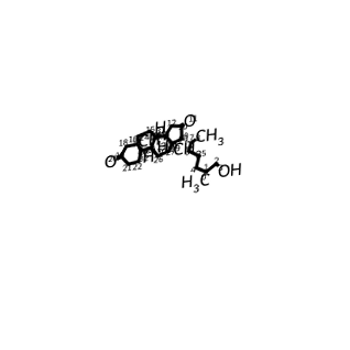 CC(CO)CCCC(C)[C@H]1C(=O)C[C@H]2[C@@H]3CCC4CC(=O)CC[C@]4(C)[C@H]3CC[C@]12C